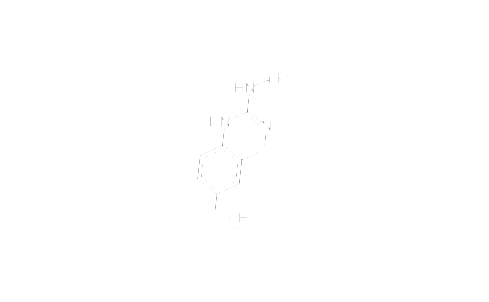 CCCNC1=NSc2cc(C(=O)O)ccc2N1